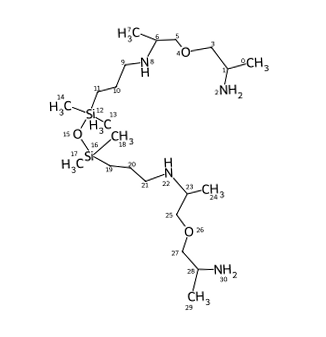 CC(N)COCC(C)NCCC[Si](C)(C)O[Si](C)(C)CCCNC(C)COCC(C)N